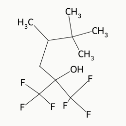 CC(CC(O)(C(F)(F)F)C(F)(F)F)C(C)(C)C